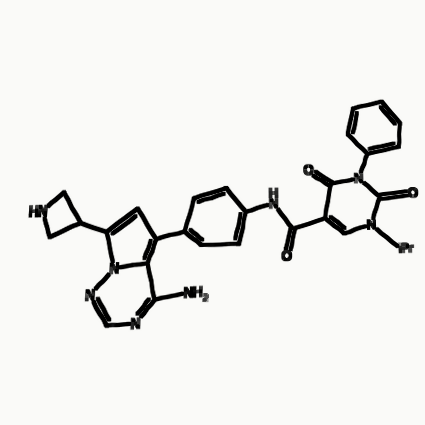 CC(C)n1cc(C(=O)Nc2ccc(-c3cc(C4CNC4)n4ncnc(N)c34)cc2)c(=O)n(-c2ccccc2)c1=O